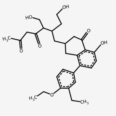 CCOc1ccc(-c2ccc(O)c3c2CC(CC(CCO)C(CO)C(=O)CC(C)=O)CC3=O)cc1CC